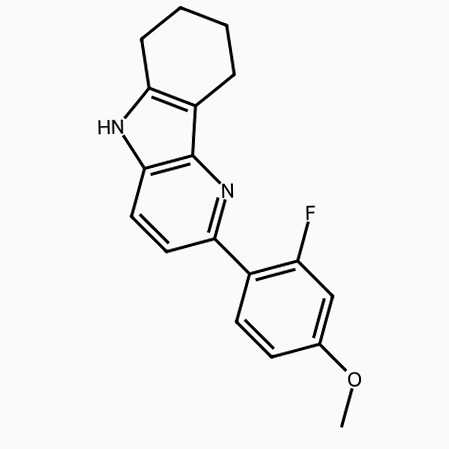 COc1ccc(-c2ccc3[nH]c4c(c3n2)CCCC4)c(F)c1